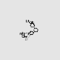 C1CCCCC1.CCCCCC.CCO.ClC(Cl)Cl.c1ccccc1.c1ccccc1